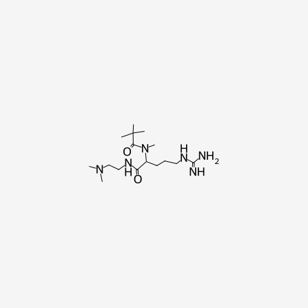 CN(C)CCNC(=O)C(CCCNC(=N)N)N(C)C(=O)C(C)(C)C